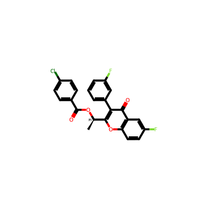 C[C@@H](OC(=O)c1ccc(Cl)cc1)c1oc2ccc(F)cc2c(=O)c1-c1cccc(F)c1